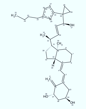 C=C1/C(=C\C=C2/CCC[C@]3(C)[C@@H]([C@@H](C)/C=C/[C@H](O)C4(c5nc(CCCC)cs5)CC4)CC[C@@H]23)C[C@@H](O)C[C@@H]1O